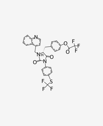 O=C1[C@@H](Cc2ccc(OC(=O)C(F)(F)F)cc2)N(Cc2ccnc3ccccc23)C(=O)N1c1ccc(SC(F)(F)F)cc1